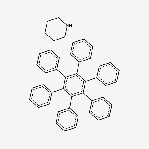 C1CCNCC1.c1ccc(-c2c(-c3ccccc3)c(-c3ccccc3)c(-c3ccccc3)c(-c3ccccc3)c2-c2ccccc2)cc1